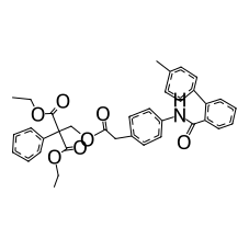 CCOC(=O)C(COC(=O)Cc1ccc(NC(=O)c2ccccc2-c2ccc(C)cc2)cc1)(C(=O)OCC)c1ccccc1